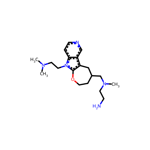 CN(C)CCn1c2c(c3cnccc31)CC(CN(C)CCN)CCO2